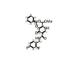 COC(OC)c1[nH]cc(C(=O)NCc2ccc(F)cc2F)c(=O)c1OCc1ccccc1